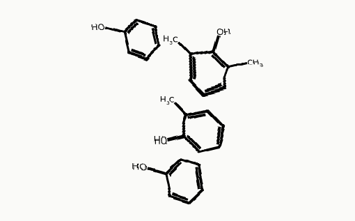 Cc1cccc(C)c1O.Cc1ccccc1O.Oc1ccccc1.Oc1ccccc1